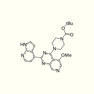 COc1cncc2nc(-c3ccnc4[nH]ccc34)nc(N3CCN(C(=O)OC(C)(C)C)CC3)c12